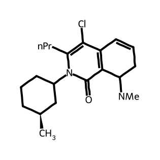 CCCc1c(Cl)c2c(c(=O)n1C1CCC[C@H](C)C1)C(NC)CC=C2